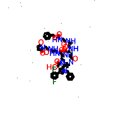 C[C@H](NC(=O)CNC(=O)OCc1ccccc1)C(=O)N[C@@H](CCC(N)=O)C(=O)N[C@@H](CCN(C(=O)CO)[C@@H](c1cc(-c2cc(F)ccc2F)cn1Cc1ccccc1)C(C)(C)C)C(=O)NCCNC(=O)CN1C(=O)C=CC1=O